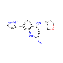 Nc1cc(N[C@@H]2CCOC2)c2ccc(-c3ccn[nH]3)cc2n1